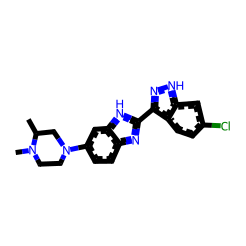 CC1CN(c2ccc3nc(-c4n[nH]c5cc(Cl)ccc45)[nH]c3c2)CCN1C